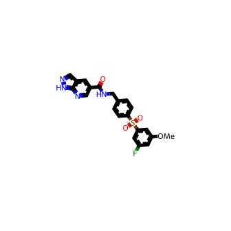 COc1cc(F)cc(S(=O)(=O)c2ccc(CNC(=O)c3cnc4[nH]ncc4c3)cc2)c1